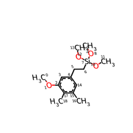 COc1cc(CC[Si](OC)(OC)OC)cc(C)c1C